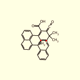 CC1(C)C=C(N)C(c2cccc3cccc(-c4cncc5ccccc45)c23)=C(C(=O)O)C1=C=O